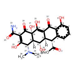 COC(=O)[C@H]1c2cccc(O)c2C(=O)C2=C(O)[C@]3(O)C(=O)C(C(N)=O)=C(O)[C@@H](N(C)C)[C@@H]3[C@@H](O)[C@@H]21